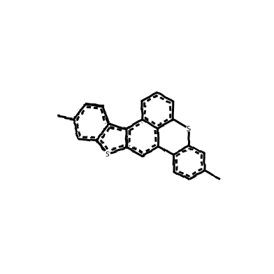 Cc1ccc2c(c1)Sc1cccc3c1c-2cc1sc2cc(C)ccc2c13